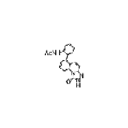 CC(=O)Nc1ccccc1-c1cccc2c1ccc1n[nH]c(=O)n12